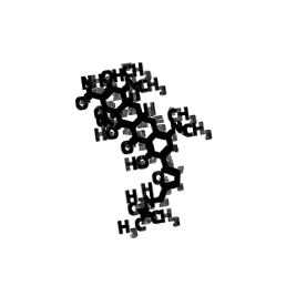 CN(C)c1cc(-c2ccc(CNC(C)(C)C)o2)c(O)c2c1C[C@H]1C[C@H]3C(N(C)C)C(O)=C(C(N)=O)C(=O)[C@@]3(N=O)C(O)=C1C2=O